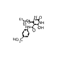 CCN(CC)CC.O=C(O)c1ccc(NC(=O)c2c(O)[nH]c(=O)[nH]c2=O)cc1